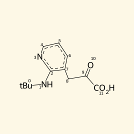 CC(C)(C)Nc1ncccc1CC(=O)C(=O)O